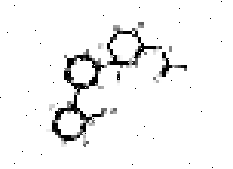 CC(=O)NC1=N[C@](C)(c2cccc(-c3cccnc3F)c2)CCS1